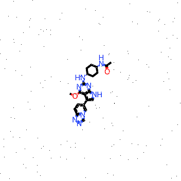 COc1nc(N[C@H]2CC[C@H](NC(C)=O)CC2)nc2[nH]cc(-c3ccc4nncn4c3)c12